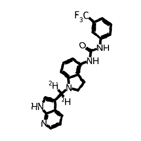 [2H]C([2H])(c1c[nH]c2ncccc12)N1CCc2c(NC(=O)Nc3cccc(C(F)(F)F)c3)cccc21